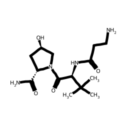 CC(C)(C)[C@H](NC(=O)CCN)C(=O)N1C[C@H](O)C[C@H]1C(N)=O